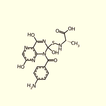 C[C@H](NSC1(O)N=C(O)c2ncc(O)nc2N1C(=O)c1ccc(N)cc1)C(=O)O